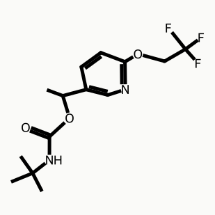 CC(OC(=O)NC(C)(C)C)c1ccc(OCC(F)(F)F)nc1